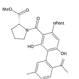 C=C(C)c1ccc(C)cc1-c1c(O)cc(CCCCC)c(C(=O)N2CCC[C@@H]2C(=O)OC)c1O